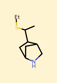 CCSC(C)C1CC2CC1CN2